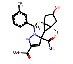 CNC(=O)C1=CC(C(N)=O)(C2[C@H]3CC(O)C[C@@H]23)N([C@@H](C)c2cccc(C(F)(F)F)c2)N1